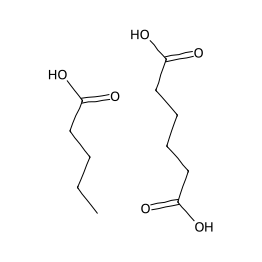 CCCCC(=O)O.O=C(O)CCCCC(=O)O